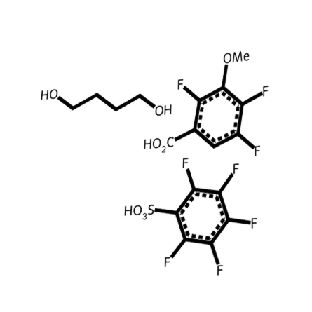 COc1c(F)c(F)cc(C(=O)O)c1F.O=S(=O)(O)c1c(F)c(F)c(F)c(F)c1F.OCCCCO